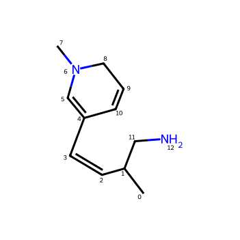 CC(/C=C\C1=CN(C)CC=C1)CN